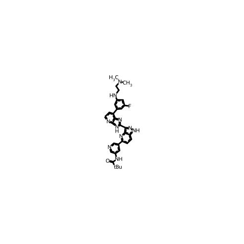 CN(C)CCNc1cc(F)cc(-c2ccnc3[nH]c(-c4n[nH]c5ccc(-c6cncc(NC(=O)C(C)(C)C)c6)nc45)nc23)c1